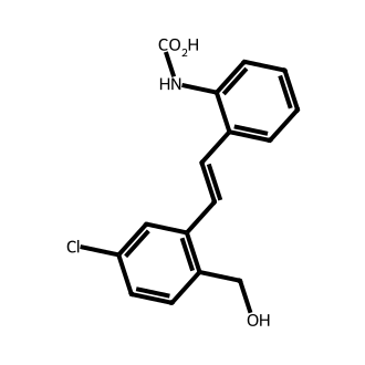 O=C(O)Nc1ccccc1C=Cc1cc(Cl)ccc1CO